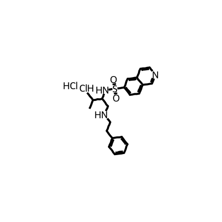 CC(C)C(CNCCc1ccccc1)NS(=O)(=O)c1ccc2cnccc2c1.Cl.Cl